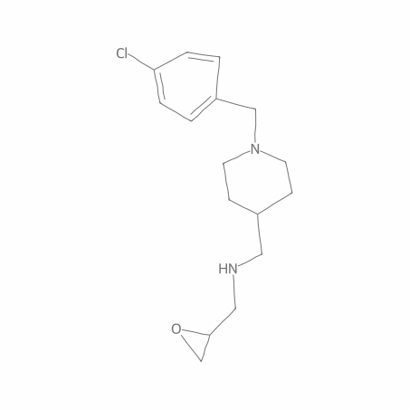 Clc1ccc(CN2CCC(CNCC3CO3)CC2)cc1